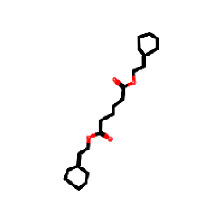 O=C(CCCCC(=O)OCC=C1CCCCC1)OCC=C1CCCCC1